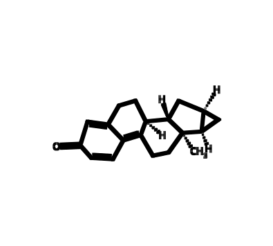 C[C@]12CCC3=C4C=CC(=O)C=C4CC[C@H]3[C@@H]1C[C@H]1C[C@H]12